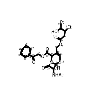 CCC(O)C(CC)CC(=O)OCC1=CS[C@H]2C(NC(C)=O)C(=O)N2C1C(=O)OCC(=O)c1ccccc1